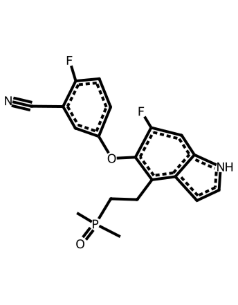 CP(C)(=O)CCc1c(Oc2ccc(F)c(C#N)c2)c(F)cc2[nH]ccc12